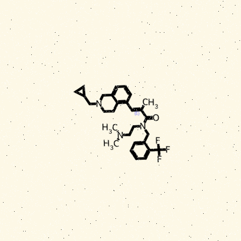 C/C(=C\c1cccc2c1CCN(CC1CC1)C2)C(=O)N(CCN(C)C)Cc1ccccc1C(F)(F)F